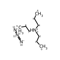 CCC[NH+](CCC)CCC.[N-]=[N+]=[N-]